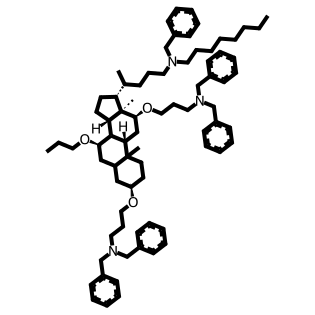 CCCCCCCCN(CCCC(C)[C@H]1CC[C@H]2C3[C@H](OCCC)CC4C[C@H](OCCCN(Cc5ccccc5)Cc5ccccc5)CCC4(C)[C@H]3C[C@H](OCCCN(Cc3ccccc3)Cc3ccccc3)[C@]12C)Cc1ccccc1